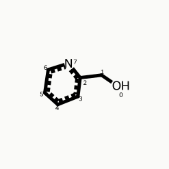 OCc1ccc[c]n1